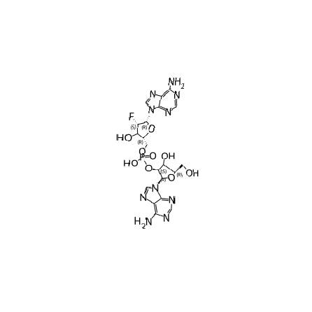 Nc1ncnc2c1ncn2[C@@H]1O[C@H](COP(=O)(O)O[C@H]2C(O)[C@@H](CO)O[C@H]2n2cnc3c(N)ncnc32)C(O)[C@@H]1F